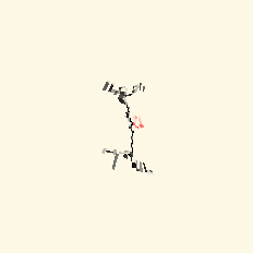 CCC(C)CCCCCCC(O)CCCC(C)CC